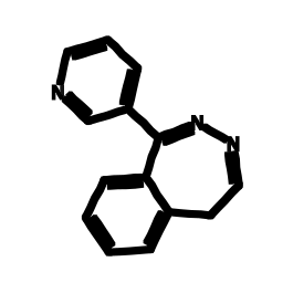 C1=NN=C(c2cccnc2)c2ccccc2C1